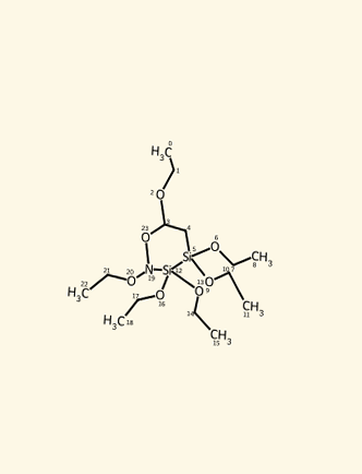 CCOC1C[Si](OCC)(OCC)[Si](OCC)(OCC)N(OCC)O1